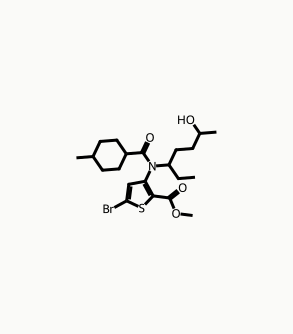 CCC(CCC(C)O)N(C(=O)C1CCC(C)CC1)c1cc(Br)sc1C(=O)OC